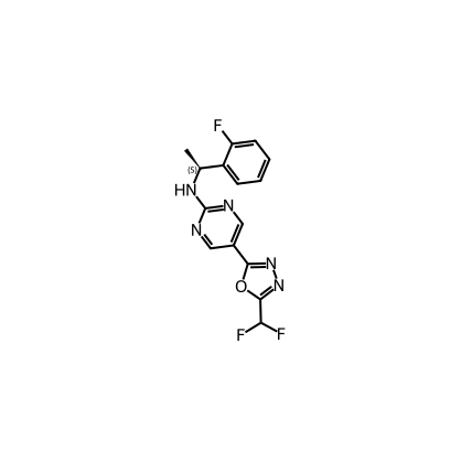 C[C@H](Nc1ncc(-c2nnc(C(F)F)o2)cn1)c1ccccc1F